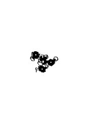 COc1ccc2c(c1)c(C(=O)C(=O)Nc1ccnc(OC)c1)c(Cl)n2Cc1ccc(F)cc1